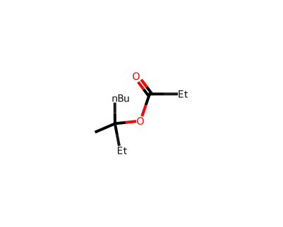 [CH2]CC(=O)OC(C)(CC)CCCC